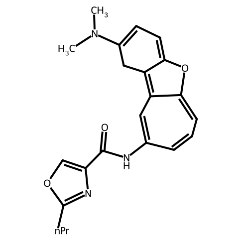 CCCc1nc(C(=O)NC2=Cc3c4c(oc3=CC=C2)=CC=C(N(C)C)C4)co1